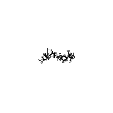 CSc1cnc(NCC(C)CNc2nc3ccc(-c4c(C)noc4C)cc3s2)nc1